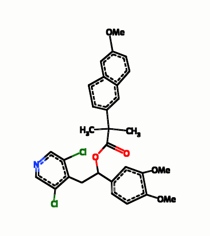 COc1ccc2cc(C(C)(C)C(=O)OC(Cc3c(Cl)cncc3Cl)c3ccc(OC)c(OC)c3)ccc2c1